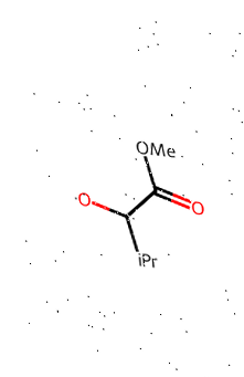 COC(=O)C([O])C(C)C